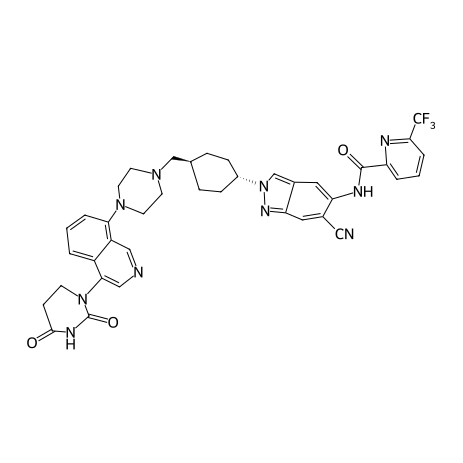 N#Cc1cc2nn([C@H]3CC[C@H](CN4CCN(c5cccc6c(N7CCC(=O)NC7=O)cncc56)CC4)CC3)cc2cc1NC(=O)c1cccc(C(F)(F)F)n1